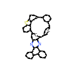 c1cc2cc(c1)c1ccc3sc4cccc(c5cc6nc7c8ccccc8c8ccccc8c7nc6c(c5)c5ccc2cc5)c4c3c1